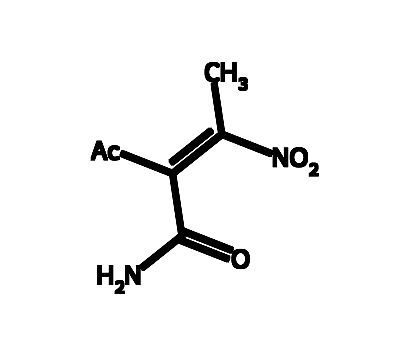 CC(=O)/C(C(N)=O)=C(\C)[N+](=O)[O-]